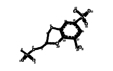 CS(=O)(=O)OCC1COc2cc(S(=O)(=O)Cl)cc([N+](=O)[O-])c2O1